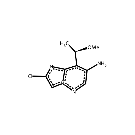 CO[C@H](C)c1c(N)cnn2cc(Cl)nc12